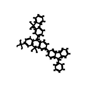 CC(C)(C)c1ccc2c(c1)C(C)(C)c1cc(-c3ccc4c(c3)c3ccccc3n4-c3ccccc3)ccc1N2c1ccc2c(c1)C(C)(C)c1ccccc1-2